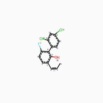 C/C=C\c1ccc(F)c(-c2ccc(Cl)cc2Cl)c1O